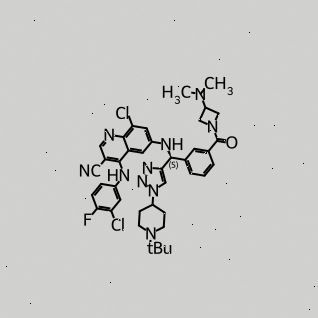 CN(C)C1CN(C(=O)c2cccc([C@H](Nc3cc(Cl)c4ncc(C#N)c(Nc5ccc(F)c(Cl)c5)c4c3)c3cn(C4CCN(C(C)(C)C)CC4)nn3)c2)C1